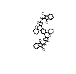 O=c1c(=Nc2nc3c(s2)-c2cc4c(cc2C2(CCCCC2)O3)-c2sc(N=c3c(=O)c5ccccc5c3=O)nc2OC42CCCCC2)c(=O)c2ccccc12